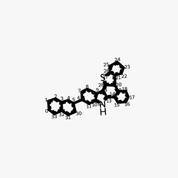 c1ccc2cc(-c3ccc4c(c3)[nH]c3c5ccccc5c5c6ccccc6sc5c43)ccc2c1